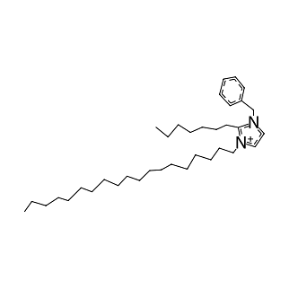 CCCCCCCCCCCCCCCCCCC[n+]1ccn(Cc2ccccc2)c1CCCCCCC